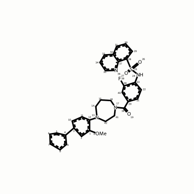 COc1cc(-c2ccccc2)ccc1N1CCCN(C(=O)c2ccc(NS(=O)(=O)c3cccc4cccnc34)c(F)c2)CC1